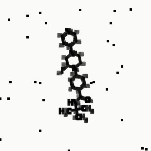 CC(C)(C)NC(=O)c1ccc(N2CCN(c3ccncc3)CC2I)cc1